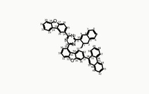 CC1Cc2ccccc2C=C1c1nc(-c2ccc3oc4ccccc4c3c2)nc(-c2cccc3oc4cc(-c5cc6ccccc6c6ccccc56)ccc4c23)n1